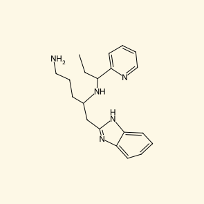 CCC(NC(CCCN)Cc1nc2ccccc2[nH]1)c1ccccn1